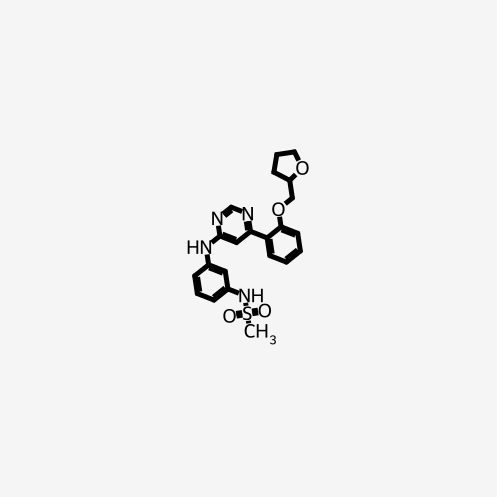 CS(=O)(=O)Nc1cccc(Nc2cc(-c3ccccc3OCC3CCCO3)ncn2)c1